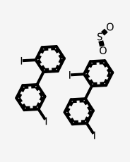 Ic1cccc(-c2ccccc2I)c1.Ic1cccc(-c2ccccc2I)c1.O=S=O